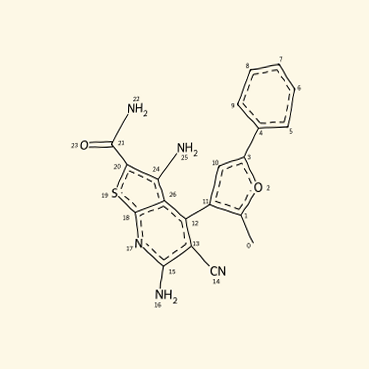 Cc1oc(-c2ccccc2)cc1-c1c(C#N)c(N)nc2sc(C(N)=O)c(N)c12